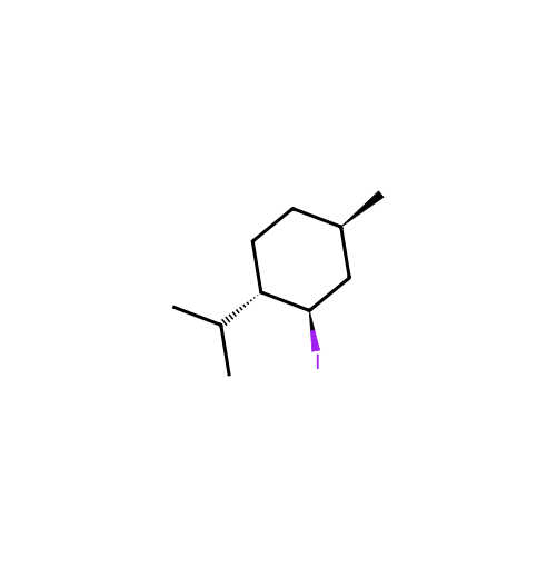 CC(C)[C@@H]1CC[C@@H](C)C[C@H]1I